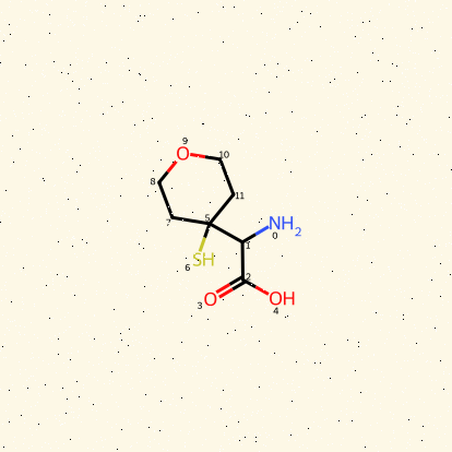 NC(C(=O)O)C1(S)CCOCC1